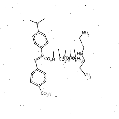 CC(=O)O.CC(=O)O.CC(=O)O.CC(=O)O.CC(=O)O.CN(C)c1ccc(N=Nc2ccc(C(=O)O)cc2)cc1.NCCNCCN